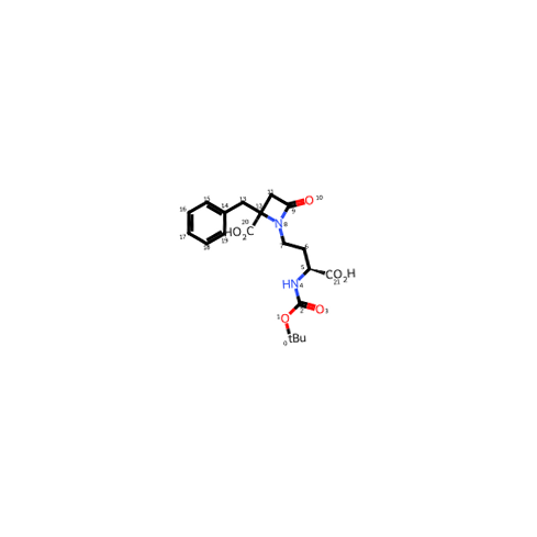 CC(C)(C)OC(=O)N[C@@H](CCN1C(=O)CC1(Cc1ccccc1)C(=O)O)C(=O)O